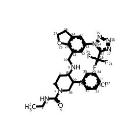 CCNC(=O)N1CCC(NCc2cc(-n3nnnc3C(F)(F)F)cc3c2OCC3)C(c2ccccc2)C1.Cl